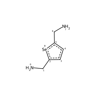 NCc1ccc(CN)[se]1